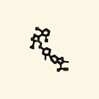 Cc1cc(OCc2c(-c3c(Cl)cccc3Cl)noc2C2CC2)ccc1-c1ccc2c(C(=O)O)c(C)oc2c1